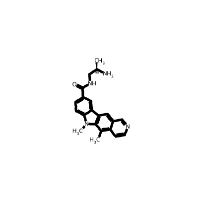 Cc1c2ccncc2cc2c3cc(C(=O)NC[C@@H](C)N)ccc3n(C)c12